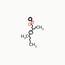 CCCCCC(C)C1CC=C(C(CCC)CCC(=O)Oc2ccccc2)CC1